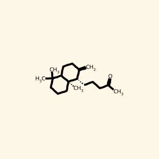 C=C1CCC2C(C)(C)CCC[C@]2(C)[C@H]1CCCC(C)=O